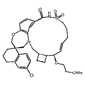 COCCO[C@@H]1/C=C/CCCS(=O)(=O)NC(=O)c2ccc3c(c2)N(CC2CCC21)C[C@@]1(CCCc2cc(Cl)ccc21)CO3